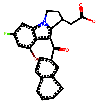 O=C(O)CC1CCn2c1c(C(=O)c1ccc3ccccc3c1)c1c(Br)cc(F)cc12